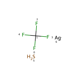 FC(F)(F)F.S.[Ag]